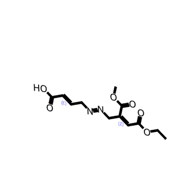 CCOC(=O)/C=C(/CN=NC/C=C/C(=O)O)C(=O)OC